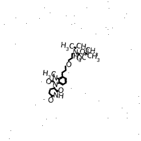 CC(C)N(CCCOCCCc1cccc2c1n(C)c(=O)n2C1CCC(=O)NC1=O)C(=O)OC(C)(C)C